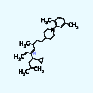 C=C/C(=C\C(C)CCC1CCN(c2cc(C)ccc2C)CC1)C(CC(=C)C)C1CC1